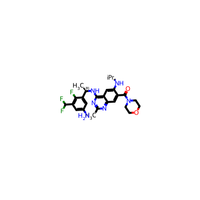 Cc1nc(N[C@H](C)c2cc(N)cc(C(F)F)c2F)c2cc(NC(C)C)c(C(=O)N3CCOCC3)cc2n1